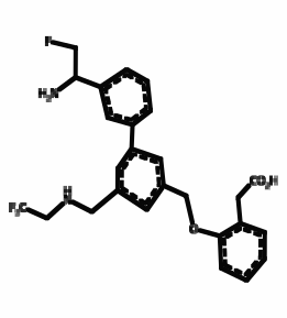 NC(CF)c1cccc(-c2cc(CNCC(F)(F)F)cc(COc3ccccc3CC(=O)O)c2)c1